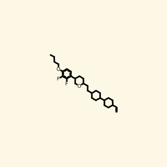 C=CC1CCC(C2CCC(CCC3CCC(c4ccc(OCCCC)c(F)c4F)CO3)CC2)CC1